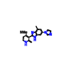 C=C1NC=CC(NC)=C1c1nc2c(C)cc(-n3ccnc3)cc2[nH]1